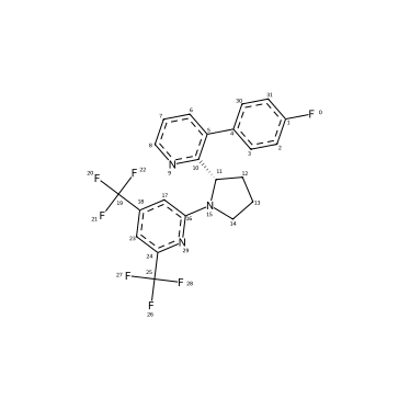 Fc1ccc(-c2cccnc2[C@@H]2CCCN2c2cc(C(F)(F)F)cc(C(F)(F)F)n2)cc1